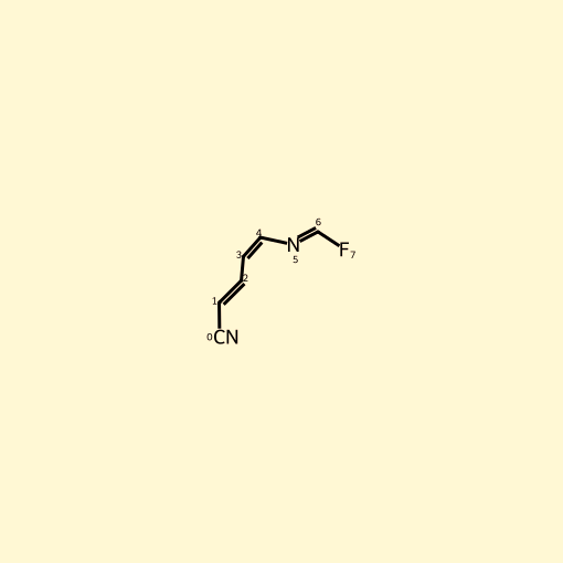 N#C/C=C/C=C\N=C\F